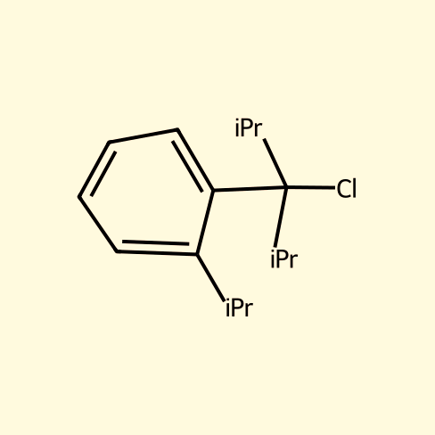 CC(C)c1ccccc1C(Cl)(C(C)C)C(C)C